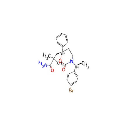 C[C@@H](c1ccc(Br)cc1)N1CC[C@@](CC(C)(C)C(N)=O)(c2ccccc2)OC1=O